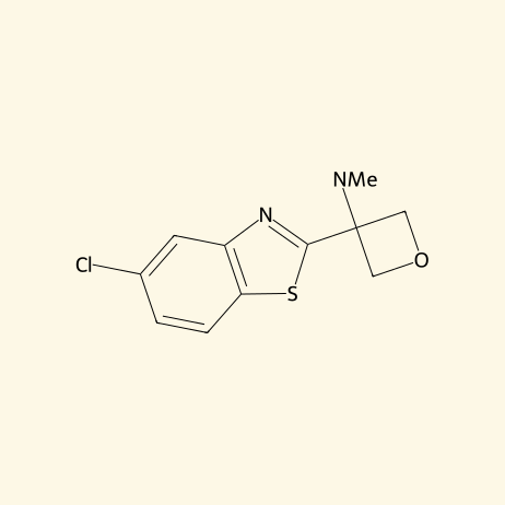 CNC1(c2nc3cc(Cl)ccc3s2)COC1